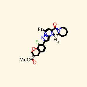 CCc1cc(C(=O)N2CCCCC[C@H]2C)nc2cc(-c3ccc4c(c3F)OC[C@@H](C(=O)OC)C4)nn12